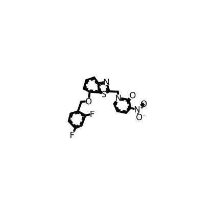 O=c1c([N+](=O)[O-])cccn1Cc1nc2cccc(OCc3ccc(F)cc3F)c2s1